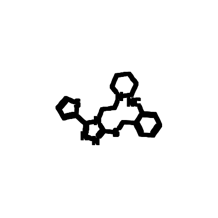 N#Cc1ccccc1CSc1nnc(-c2cccs2)n1CCN1CCCCC1